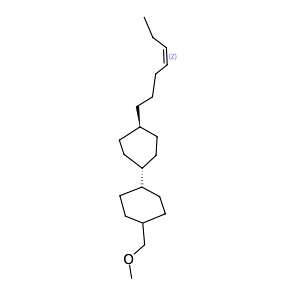 CC/C=C\CCC[C@H]1CC[C@H](C2CCC(COC)CC2)CC1